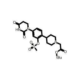 CC(C)(C)OC(=O)CN1CCC(c2ccc(N3CCC(=O)NC3=O)cc2OS(C)(=O)=O)CC1